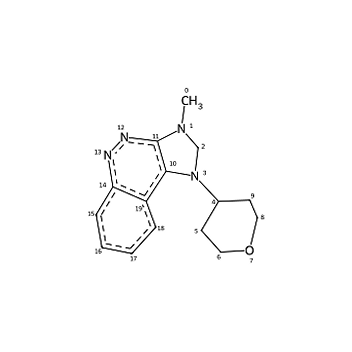 CN1CN(C2CCOCC2)c2c1nnc1ccccc21